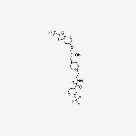 Cc1nc2cc(OC[C@H](O)CN3CCN(CCNS(=O)(=O)c4cccc(C(F)(F)F)c4)CC3)ccc2s1